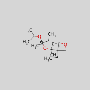 CCC1(C(C)(C)O[Si](C)(CC)OC(C)C)COC1